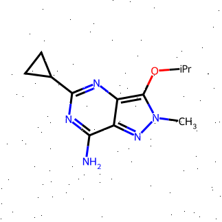 CC(C)Oc1c2nc(C3CC3)nc(N)c2nn1C